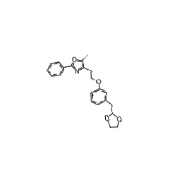 Cc1oc(-c2ccccc2)nc1CCOc1cccc(CC2OCCO2)c1